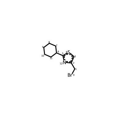 BrCc1csc(C2CCCCC2)n1